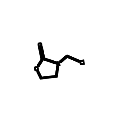 O=C1OCCN1CCl